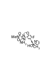 CNC(=O)c1c(C(N)=O)nc2n1CCOc1cc(F)c(C#C[C@@](C)(O)c3ccccn3)cc1-2